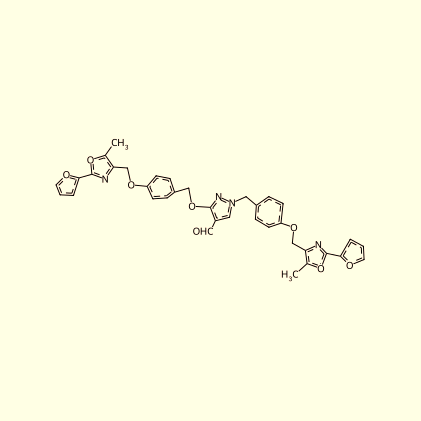 Cc1oc(-c2ccco2)nc1COc1ccc(COc2nn(Cc3ccc(OCc4nc(-c5ccco5)oc4C)cc3)cc2C=O)cc1